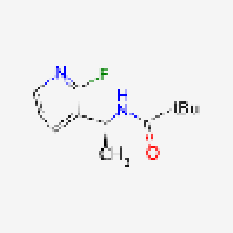 C[C@H](NC(=O)C(C)(C)C)c1cccnc1F